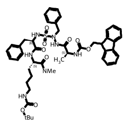 CNC(=O)[C@H](CCCCNC(=O)OC(C)(C)C)NC(=O)[C@@H](Cc1ccccc1)NS(=O)(=O)N(Cc1ccccc1)NC(=O)[C@H](C)NC(=O)OCC1c2ccccc2-c2ccccc21